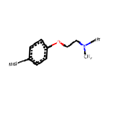 CSc1ccc(OCCN(C)C(C)C)cc1